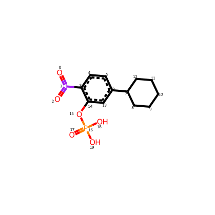 O=I(=O)c1ccc(C2CCCCC2)cc1OP(=O)(O)O